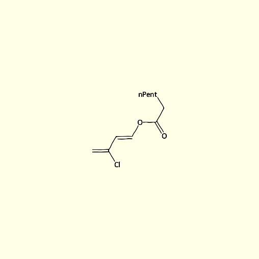 C=C(Cl)C=COC(=O)CCCCCC